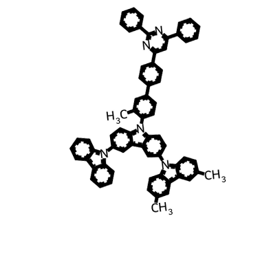 Cc1ccc2c(c1)c1cc(C)ccc1n2-c1ccc2c(c1)c1cc(-n3c4ccccc4c4ccccc43)ccc1n2-c1ccc(-c2ccc(-c3cc(-c4ccccc4)nc(-c4ccccc4)n3)cc2)cc1C